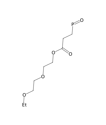 CCOCCOCCOC(=O)CCP=O